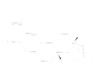 C=C(C)c1cc2c(cc1O)CC[C@@H]1[C@@H]2CC[C@]2(C)C[C@H](O)C[C@@H]12